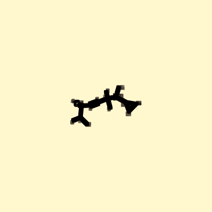 CC(C)C(=O)C#CC(C)(C)N(C)C1CC1